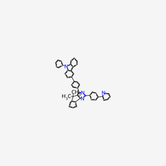 CC1(C)c2ccccc2-c2nc(-c3ccc(-c4ccccn4)cc3)nc(-c3ccc(-c4ccc5c(c4)c4ccccc4n5-c4ccccc4)cc3)c21